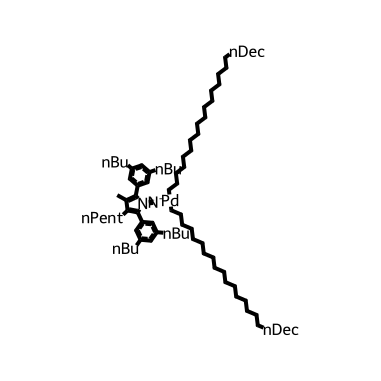 CCCCCC1=C(c2cc(CCCC)cc(CCCC)c2)[N+](=[N-])C(c2cc(CCCC)cc(CCCC)c2)=C1C.CCCCCCCCCCCCCCCCCCCCCCCCCC[CH2][Pd][CH2]CCCCCCCCCCCCCCCCCCCCCCCCCC